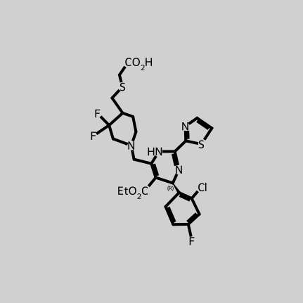 CCOC(=O)C1=C(CN2CCC(CSCC(=O)O)C(F)(F)C2)NC(c2nccs2)=N[C@H]1c1ccc(F)cc1Cl